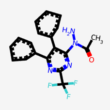 CC(=O)N(N)c1nc(C(F)(F)F)nc(-c2ccccc2)c1-c1ccccc1